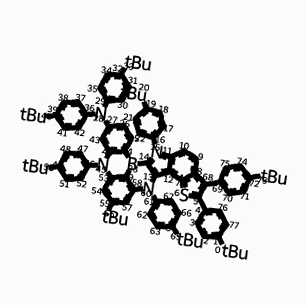 CC(C)(C)c1ccc(-c2sc3c(ccc4c3c3c(n4-c4ccc(C(C)(C)C)cc4)B4c5ccc(N(c6ccc(C(C)(C)C)cc6)c6ccc(C(C)(C)C)cc6)cc5N(c5ccc(C(C)(C)C)cc5)c5cc(C(C)(C)C)cc(c54)N3c3ccc(C(C)(C)C)cc3)c2-c2ccc(C(C)(C)C)cc2)cc1